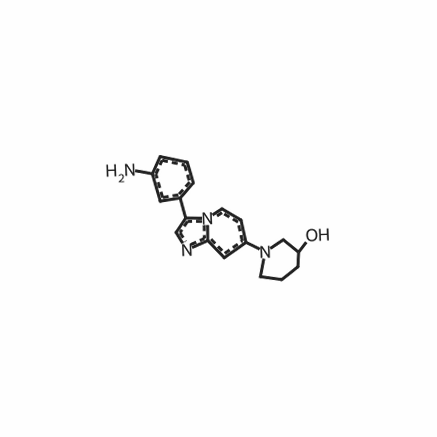 Nc1cccc(-c2cnc3cc(N4CCCC(O)C4)ccn23)c1